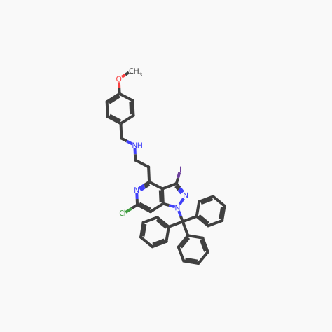 COc1ccc(CNCCc2nc(Cl)cc3c2c(I)nn3C(c2ccccc2)(c2ccccc2)c2ccccc2)cc1